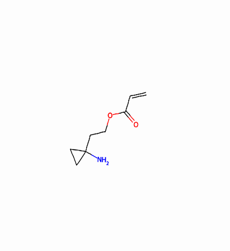 C=CC(=O)OCCC1(N)CC1